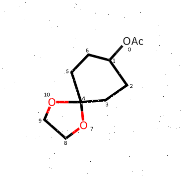 CC(=O)OC1CCC2(CC1)OCCO2